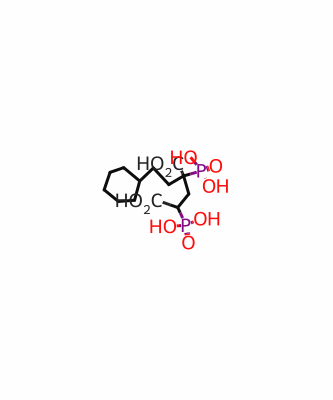 O=C(O)C(CC(CCC1CCCCC1)(C(=O)O)P(=O)(O)O)P(=O)(O)O